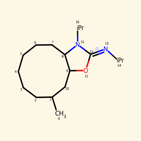 CC1CCCCCCC2C(C1)O/C(=N\C(C)C)N2C(C)C